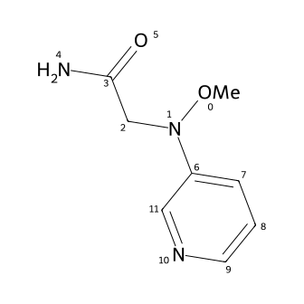 CON(CC(N)=O)c1cccnc1